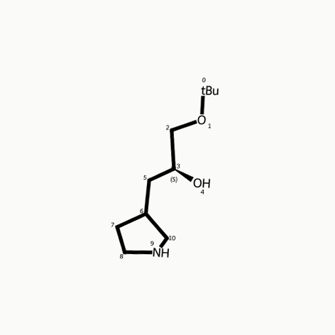 CC(C)(C)OC[C@@H](O)CC1CCNC1